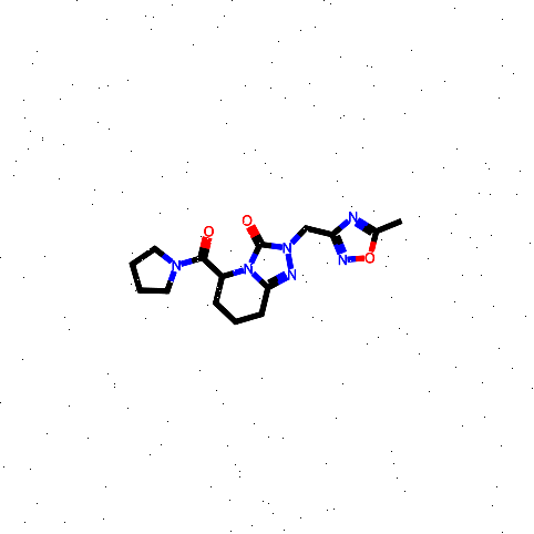 Cc1nc(Cn2nc3n(c2=O)C(C(=O)N2CCCC2)CCC3)no1